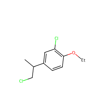 CCOc1ccc([C](C)CCl)cc1Cl